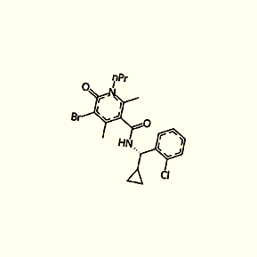 CCCn1c(C)c(C(=O)N[C@H](c2ccccc2Cl)C2CC2)c(C)c(Br)c1=O